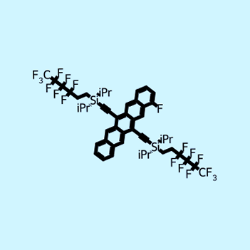 CC(C)[Si](C#Cc1c2cc3ccccc3cc2c(C#C[Si](CCC(F)(F)C(F)(F)C(F)(F)C(F)(F)F)(C(C)C)C(C)C)c2cc3c(F)cccc3cc12)(CCC(F)(F)C(F)(F)C(F)(F)C(F)(F)F)C(C)C